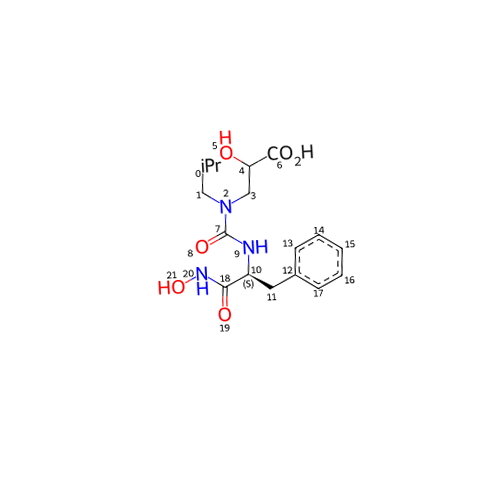 CC(C)CN(CC(O)C(=O)O)C(=O)N[C@@H](Cc1ccccc1)C(=O)NO